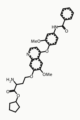 COc1cc2c(Oc3ccc(NC(=O)c4ccccc4)cc3OC)ccnc2cc1OCCC(N)C(=O)OC1CCCC1